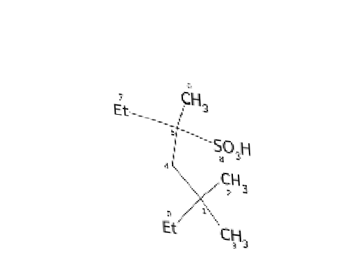 CCC(C)(C)CC(C)(CC)S(=O)(=O)O